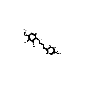 CCCC1=COC(CCCOc2ccc(OCC)c(F)c2F)CC1